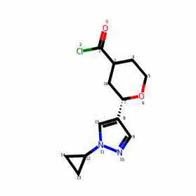 O=C(Cl)C1CCO[C@H](c2cnn(C3CC3)c2)C1